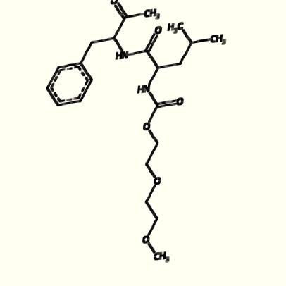 COCCOCCOC(=O)NC(CC(C)C)C(=O)NC(Cc1ccccc1)C(C)=O